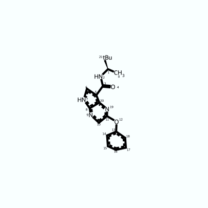 C[C@@H](NC(=O)c1c[nH]c2ncc(Oc3ccccc3)nc12)C(C)(C)C